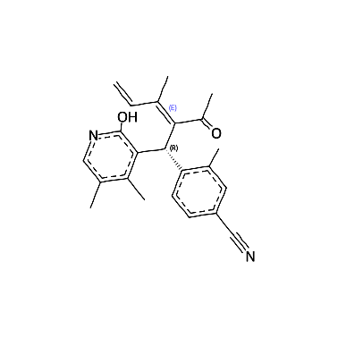 C=C/C(C)=C(/C(C)=O)[C@H](c1ccc(C#N)cc1C)c1c(O)ncc(C)c1C